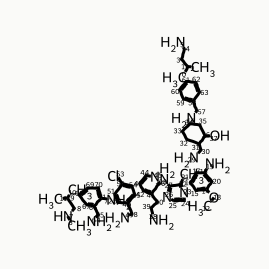 CC(C)CCN.CNCC(C)C.COc1cccc(N)c1.Cc1nccnc1N.NCC1CCCCC1O.NCCc1cccnc1.NCc1ccc(Cl)cc1.NCc1ccccc1.NCc1ccccc1N